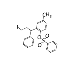 Cc1ccc(OS(=O)(=O)c2ccccc2)c(C(CCI)c2ccccc2)c1